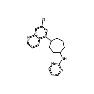 Clc1cc2ncccc2c(N2CCCC(Nc3ncccn3)CC2)n1